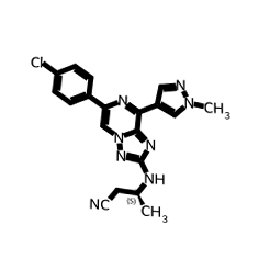 C[C@@H](CC#N)Nc1nc2c(-c3cnn(C)c3)nc(-c3ccc(Cl)cc3)cn2n1